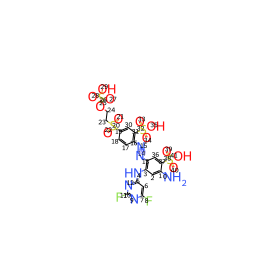 Nc1cc(Nc2cc(F)nc(F)n2)c(/N=N/c2ccc(S(=O)(=O)CCOS(=O)(=O)O)cc2S(=O)(=O)O)cc1S(=O)(=O)O